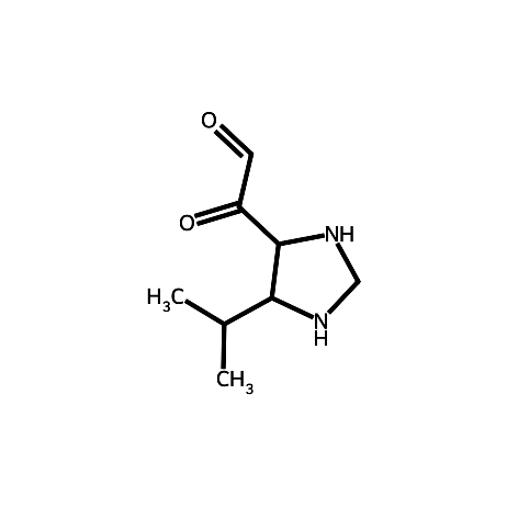 CC(C)C1NCNC1C(=O)C=O